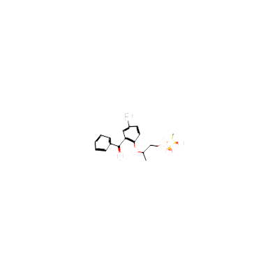 CCc1ccc(OC(C)CCOS(C)(=O)=O)c(C(=O)c2ccccc2)c1